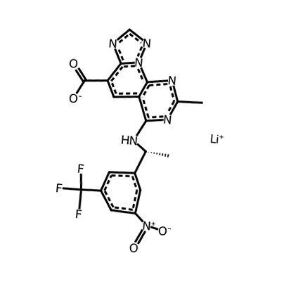 Cc1nc(N[C@H](C)c2cc([N+](=O)[O-])cc(C(F)(F)F)c2)c2cc(C(=O)[O-])c3ncnn3c2n1.[Li+]